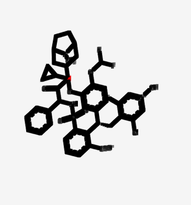 CN1C2CCC1CC(OC(=O)C(NS(=O)(=O)c1cccc(C(=O)[O-])c1[C@@H](Cc1c(Cl)c[n+](O)cc1Cl)c1ccc(OC(F)F)c(OCC3CC3)c1)c1ccccc1)C2